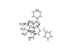 CC1(C)CC[N+](C(=O)OC2CCOCC2)(C(=O)[C@H](CC2CCCC2)CN(O)C=O)[C@@H]1C(N)=O